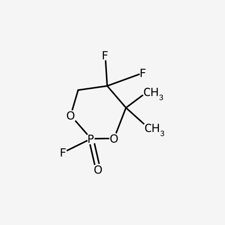 CC1(C)OP(=O)(F)OCC1(F)F